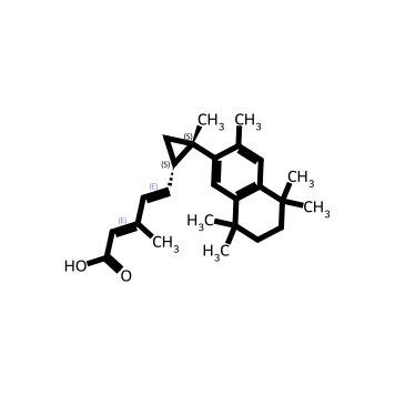 CC(/C=C/[C@@H]1C[C@]1(C)c1cc2c(cc1C)C(C)(C)CCC2(C)C)=C\C(=O)O